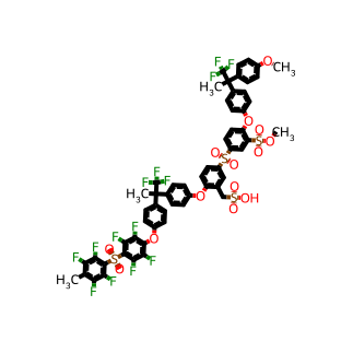 COc1ccc(C(C)(c2ccc(Oc3ccc(S(=O)(=O)c4ccc(Oc5ccc(C(C)(c6ccc(Oc7c(F)c(F)c(S(=O)(=O)c8c(F)c(F)c(C)c(F)c8F)c(F)c7F)cc6)C(F)(F)F)cc5)c(CS(=O)(=O)O)c4)cc3S(=O)(=O)OC)cc2)C(F)(F)F)cc1